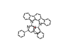 C1=CCCC(n2c3ccccc3c3ccc4c5ccccc5n(-c5nc(-c6ccccc6)cc(-c6ccccc6)n5)c4c32)=C1